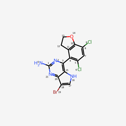 Nc1nc(-c2c(Cl)cc(Cl)c3c2CCO3)c2[nH]cc(Br)c2n1